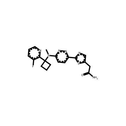 CN(c1ccc(-c2ncc(CC(N)=O)s2)nn1)C1(c2ncccc2F)CCC1